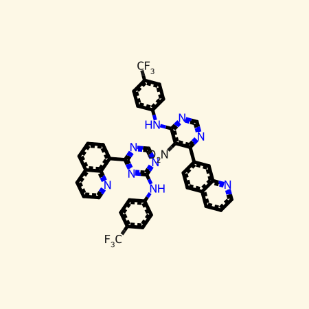 FC(F)(F)c1ccc(Nc2ncnc(-c3cccc4cccnc34)n2)cc1.O=[N+]([O-])c1c(Nc2ccc(C(F)(F)F)cc2)ncnc1-c1ccc2cccnc2c1